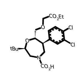 CCOC(=O)COC[C@H]1O[C@H](C(C)(C)C)CN(C(=O)O)C[C@@H]1c1ccc(Cl)c(Cl)c1